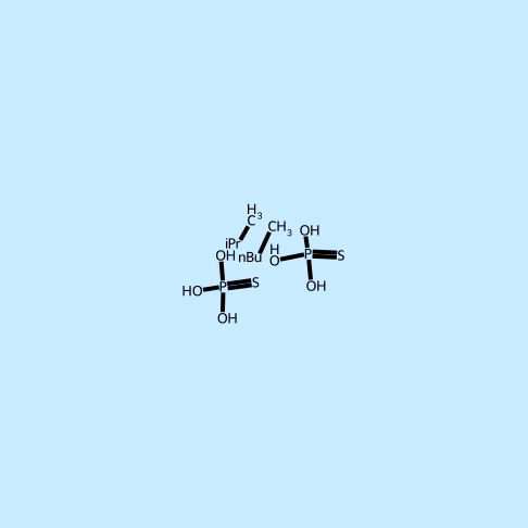 CC(C)C.CCCCC.OP(O)(O)=S.OP(O)(O)=S